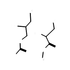 CCC(=O)OCC(O)CO.CCCOC(=O)C(O)CO